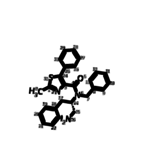 Cc1nc(C(=O)N(Cc2ccccc2)[C@H](CN)Cc2ccccc2)c(-c2ccccc2)s1